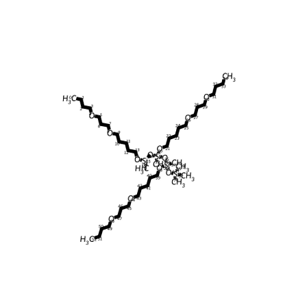 CCCCOCCCOCCCCCO[SiH](C)O[Si](C)(OCCCCCOCCCOCCCC)O[Si](C)(OCCCCCOCCCOCCCC)O[Si](C)(C)C